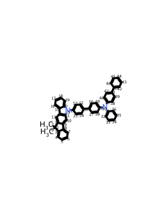 CC1(C)c2ccccc2-c2cc3c(cc21)c1ccccc1n3-c1ccc(-c2ccc(N(c3ccccc3)c3ccc(-c4ccccc4)cc3)cc2)cc1